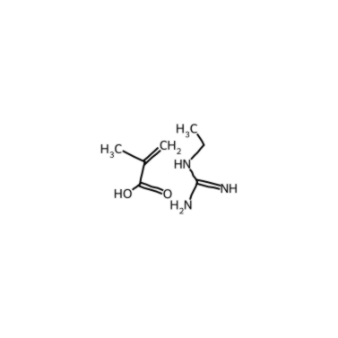 C=C(C)C(=O)O.CCNC(=N)N